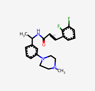 CC(NC(=O)/C=C/c1cccc(F)c1F)c1cccc(N2CCN(C)CC2)c1